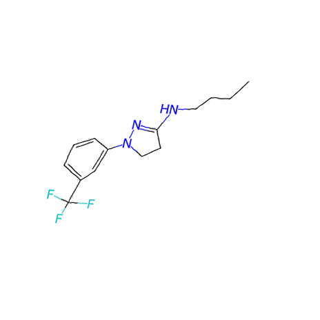 CCCCNC1=NN(c2cccc(C(F)(F)F)c2)CC1